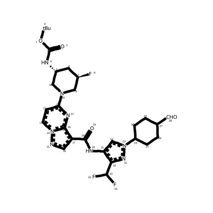 CC(C)(C)OC(=O)N[C@@H]1C[C@@H](F)CN(c2ccn3ncc(C(=O)Nc4cn(C5CCC(C=O)CC5)nc4C(F)F)c3n2)C1